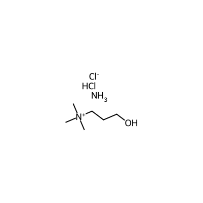 C[N+](C)(C)CCCO.Cl.N.[Cl-]